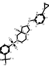 O=S(=O)(c1cccc(C(F)(F)F)c1)N1CCN2C[C@@H](Oc3nccc(C4CC4)n3)C[C@H]2C1